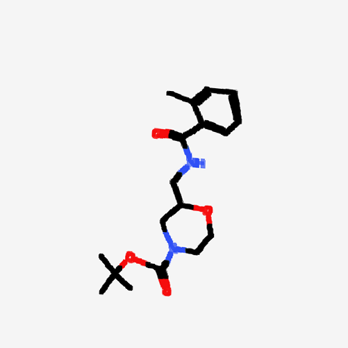 Cc1ccccc1C(=O)NCC1CN(C(=O)OC(C)(C)C)CCO1